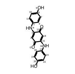 O=C1C=C(Nc2ccc(O)cc2)C(=O)C=C1Nc1ccc(O)cc1